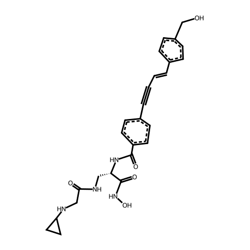 O=C(CNC1CC1)NC[C@H](NC(=O)c1ccc(C#C/C=C/c2ccc(CO)cc2)cc1)C(=O)NO